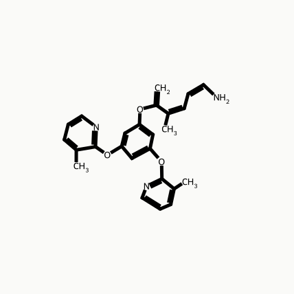 C=C(Oc1cc(Oc2ncccc2C)cc(Oc2ncccc2C)c1)/C(C)=C\C=C/N